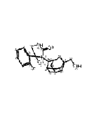 CC1(c2ccccc2F)CNC(=O)N1C1C2CC3CC1CC(CO)(C3)C2